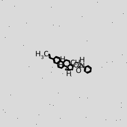 CC=Cc1ccc2c(c1)CC[C@@H]1[C@@H]2CC[C@]2(C)[C@@H](OC(=O)Nc3ccccc3)C[C@H]3C[C@@]312